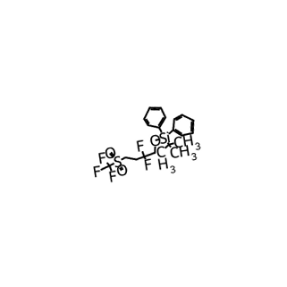 CC(C)(C)[Si](OCC(F)(F)CCS(=O)(=O)C(F)(F)F)(c1ccccc1)c1ccccc1